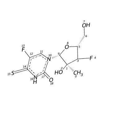 C[C@@]1(O)C(F)[C@@H](CO)O[C@H]1n1cc(F)c(=S)[nH]c1=O